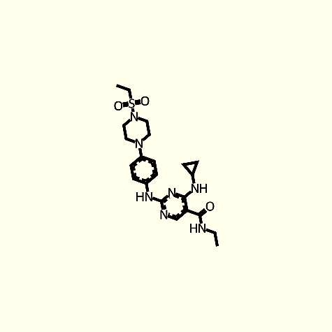 CCNC(=O)c1cnc(Nc2ccc(N3CCN(S(=O)(=O)CC)CC3)cc2)nc1NC1CC1